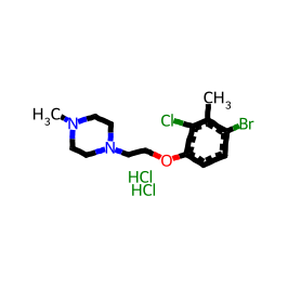 Cc1c(Br)ccc(OCCN2CCN(C)CC2)c1Cl.Cl.Cl